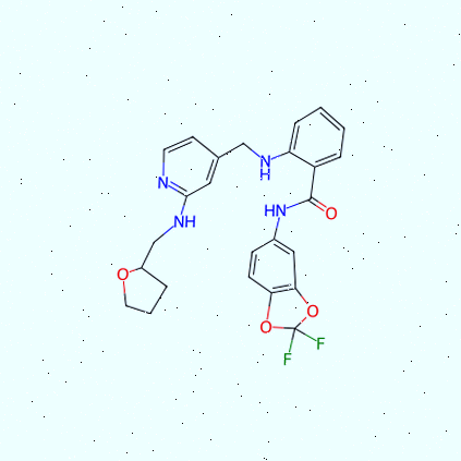 O=C(Nc1ccc2c(c1)OC(F)(F)O2)c1ccccc1NCc1ccnc(NCC2CCCO2)c1